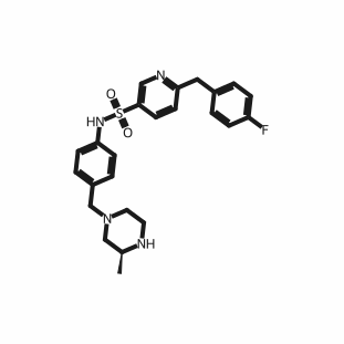 C[C@H]1CN(Cc2ccc(NS(=O)(=O)c3ccc(Cc4ccc(F)cc4)nc3)cc2)CCN1